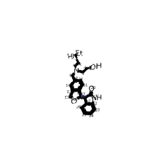 CCNCCN(CCO)Cc1ccc2c(c1)CO/C2=C1/C(=O)Nc2ccccc21